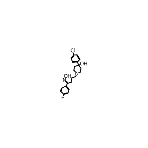 ON=C(CCCN1CCC(O)(c2ccc(Cl)cc2)CC1)c1ccc(F)cc1